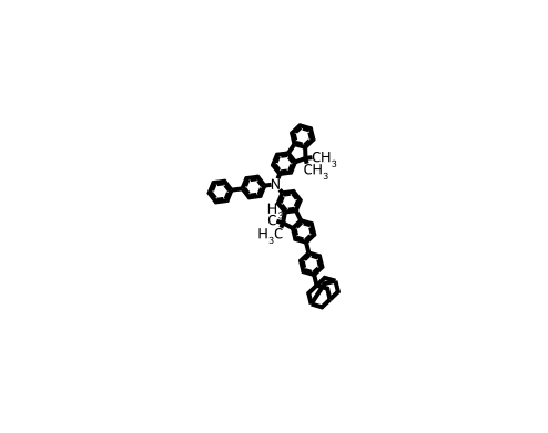 CC1(C)c2ccccc2-c2ccc(N(c3ccc(-c4ccccc4)cc3)c3ccc4c(c3)C(C)(C)c3cc(-c5ccc(C67CC8CC(CC(C8)C6)C7)cc5)ccc3-4)cc21